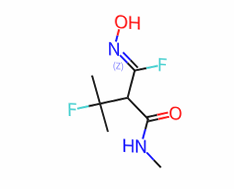 CNC(=O)C(/C(F)=N/O)C(C)(C)F